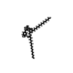 CCCCCCCCCCCCCCCC(=O)OCC(CO)OC(=O)CCCCCCCCCCCCCCC.O=P([O-])([O-])OCc1ccccc1.[Ca+2]